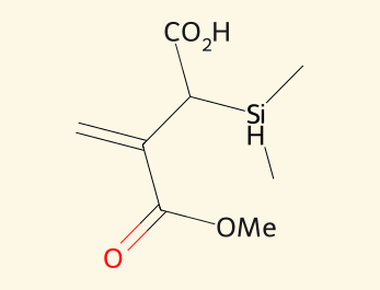 C=C(C(=O)OC)C(C(=O)O)[SiH](C)C